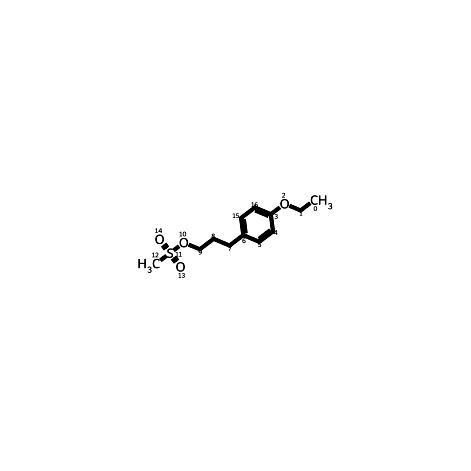 CCOc1ccc(CCCOS(C)(=O)=O)cc1